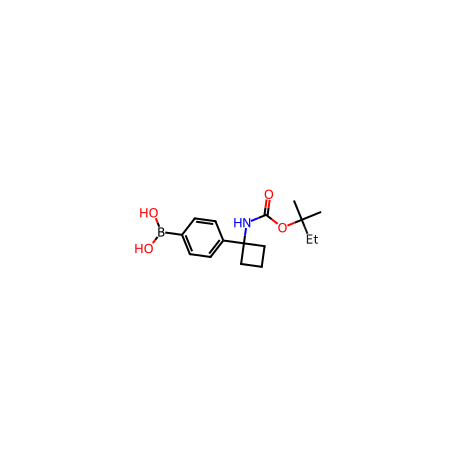 CCC(C)(C)OC(=O)NC1(c2ccc(B(O)O)cc2)CCC1